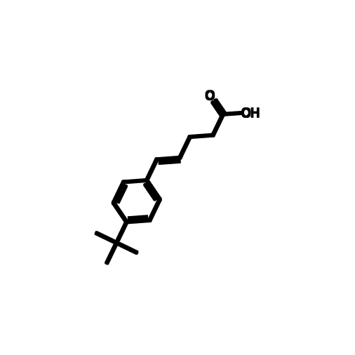 CC(C)(C)c1ccc(C=CCCC(=O)O)cc1